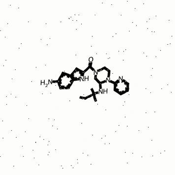 CCC(C)(C)NC1CN(C(=O)c2cc3cc(N)ccc3[nH]2)CCN1c1ccccn1